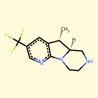 C[C@H]1c2cc(C(F)(F)F)cnc2N2CCNC[C@H]12